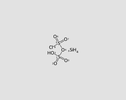 O=S(=O)(O)OS(=O)(=O)Cl.[SiH4]